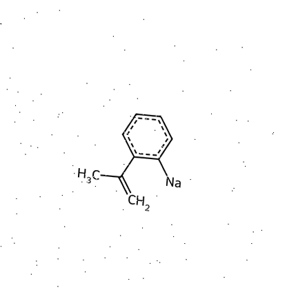 C=C(C)c1cccc[c]1[Na]